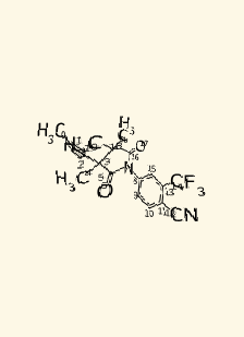 CC#CC1(C)C(=O)N(c2ccc(C#N)c(C(F)(F)F)c2)C(=O)C1(C)C